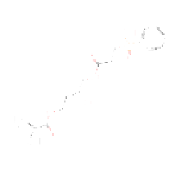 C=C(C)C(=O)OCCC(O)COC(=O)CCP(=O)(O)c1ccccc1